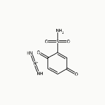 N=[N+]=N.NS(=O)(=O)C1=CC(=O)C=CC1=O